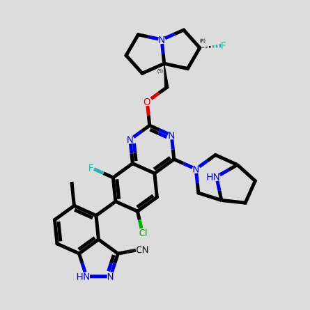 Cc1ccc2[nH]nc(C#N)c2c1-c1c(Cl)cc2c(N3CC4CCC(C3)N4)nc(OC[C@@]34CCCN3C[C@H](F)C4)nc2c1F